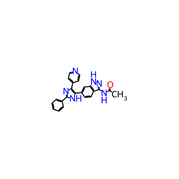 CC(=O)Nc1n[nH]c2cc(-c3[nH]c(-c4ccccc4)nc3-c3ccncc3)ccc12